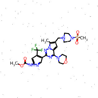 COC(=O)Nc1cc(C(F)(F)F)c(-c2nc(N3CCOCC3)c3cc(CN4CCN(S(C)(=O)=O)CC4)c(C)n3n2)cn1